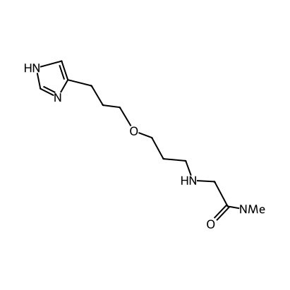 CNC(=O)CNCCCOCCCc1c[nH]cn1